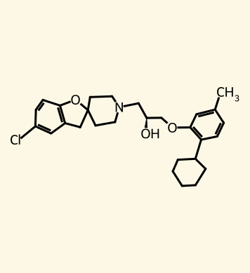 Cc1ccc(C2CCCCC2)c(OC[C@@H](O)CN2CCC3(CC2)Cc2cc(Cl)ccc2O3)c1